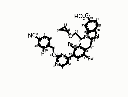 N#Cc1ccc(COc2nccc(-c3cc(F)c(Cc4nc5ccc(C(=O)O)cc5n4CCOC4CC4)cc3F)n2)c(F)c1